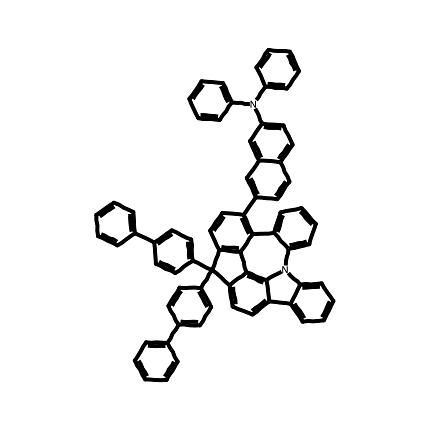 c1ccc(-c2ccc(C3(c4ccc(-c5ccccc5)cc4)c4ccc(-c5ccc6ccc(N(c7ccccc7)c7ccccc7)cc6c5)c5c4-c4c3ccc3c6ccccc6n(c43)-c3ccccc3-5)cc2)cc1